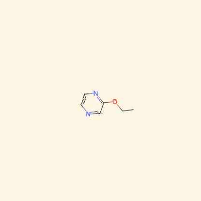 CCOc1[c]nccn1